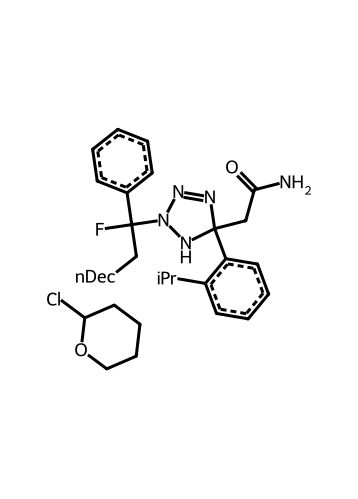 CCCCCCCCCCCC(F)(c1ccccc1)N1N=NC(CC(N)=O)(c2ccccc2C(C)C)N1.ClC1CCCCO1